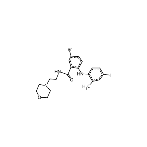 Cc1cc(I)ccc1Nc1ccc(Br)cc1C(=O)NCCN1CCOCC1